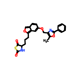 Cc1oc(-c2ccccc2)nc1COc1ccc2coc(CCCC3NC(=O)SC3=O)c2c1